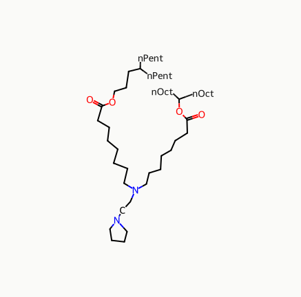 CCCCCCCCC(CCCCCCCC)OC(=O)CCCCCCCN(CCCCCCCC(=O)OCCCC(CCCCC)CCCCC)CCN1CCCC1